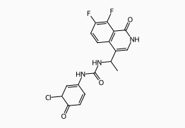 CC(NC(=O)NC1=CC(Cl)C(=O)C=C1)c1c[nH]c(=O)c2c(F)c(F)ccc12